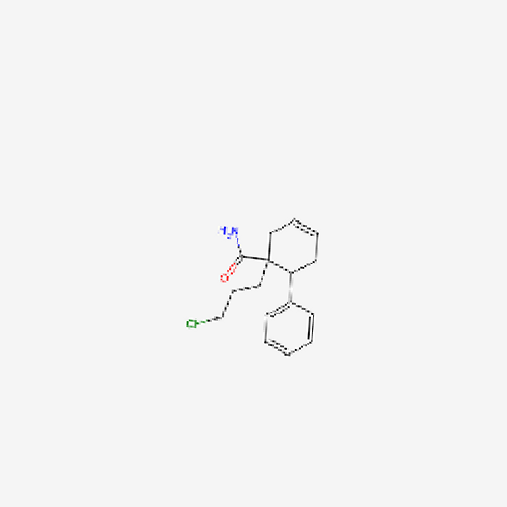 NC(=O)C1(CCCCl)CC=CCC1c1ccccc1